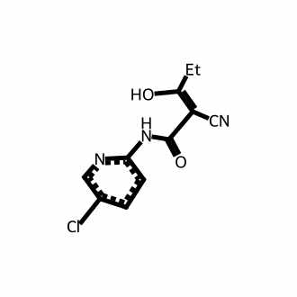 CCC(O)=C(C#N)C(=O)Nc1ccc(Cl)cn1